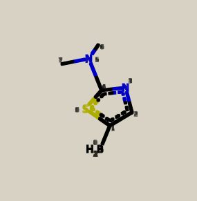 Bc1cnc(N(C)C)s1